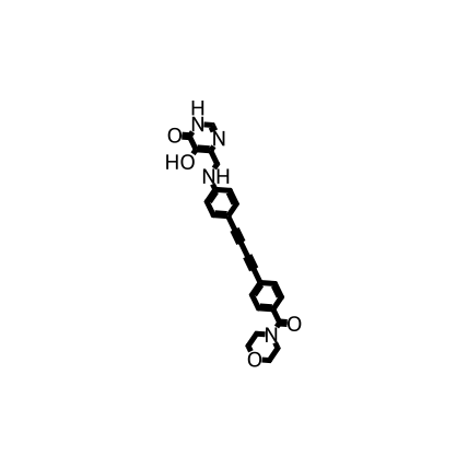 O=C(c1ccc(C#CC#Cc2ccc(NCc3nc[nH]c(=O)c3O)cc2)cc1)N1CCOCC1